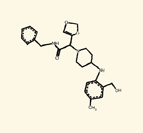 Cc1ccc(NC2CCN(C(C(=O)NCc3ccccc3)C3=COCO3)CC2)c(CO)c1